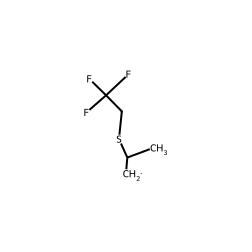 [CH2]C(C)SCC(F)(F)F